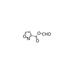 O=COC(=O)c1ccon1